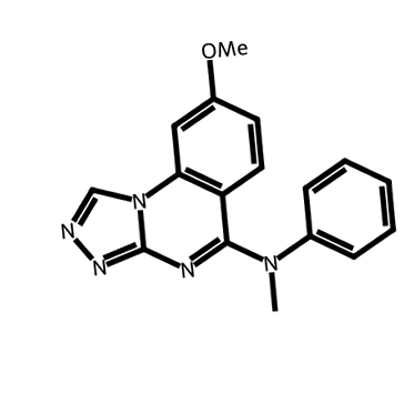 COc1ccc2c(N(C)c3ccccc3)nc3nncn3c2c1